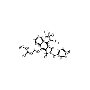 CC(C)OC(=O)OCOc1c2c(c(N(C)S(C)(=O)=O)c3cccnc13)CN(Cc1ccc(F)cc1)C2=O